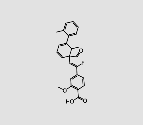 COc1cc(/C(F)=C/C2(C=O)C=CC=C(c3ccccc3C)C2C)ccc1C(=O)O